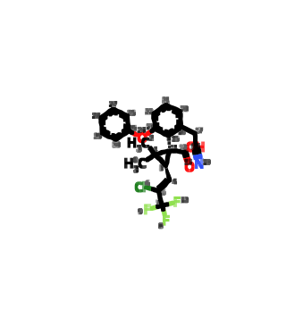 CC1(C)[C@H](C=C(Cl)C(F)(F)F)[C@@]1(C(=O)O)c1c(CC#N)cccc1Oc1ccccc1